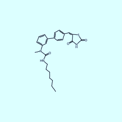 CCCCCCCNC(=O)N(C)c1cccc(-c2ccc(C=C3SC(=O)NC3=O)cc2)c1